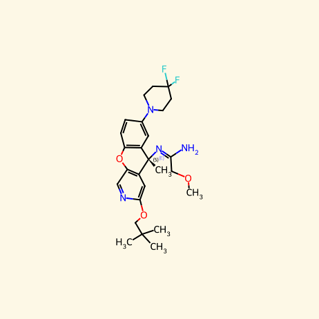 COC/C(N)=N\[C@@]1(C)c2cc(N3CCC(F)(F)CC3)ccc2Oc2cnc(OCC(C)(C)C)cc21